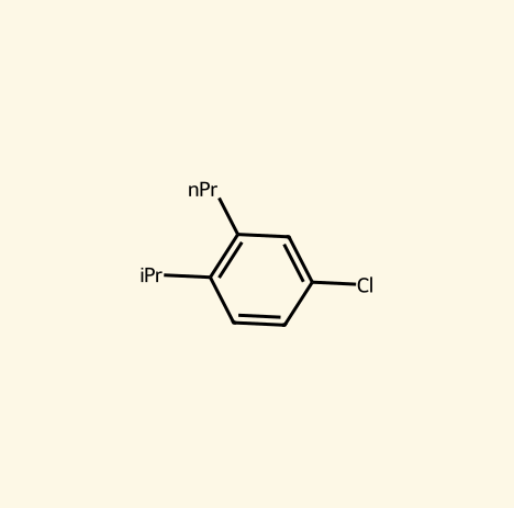 CCCc1cc(Cl)ccc1C(C)C